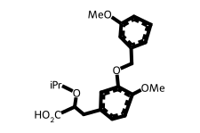 COc1cccc(COc2cc(CC(OC(C)C)C(=O)O)ccc2OC)c1